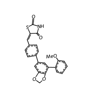 COc1ccccc1-c1cc(-c2ccc(C=C3SC(=O)NC3=O)cc2)cc2c1OCO2